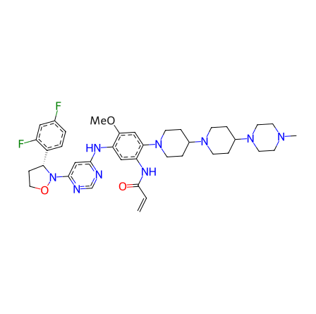 C=CC(=O)Nc1cc(Nc2cc(N3OCC[C@@H]3c3ccc(F)cc3F)ncn2)c(OC)cc1N1CCC(N2CCC(N3CCN(C)CC3)CC2)CC1